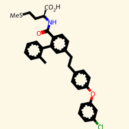 CSCC[C@H](NC(=O)c1ccc(CCc2ccc(Oc3cccc(Cl)c3)cc2)cc1-c1ccccc1C)C(=O)O